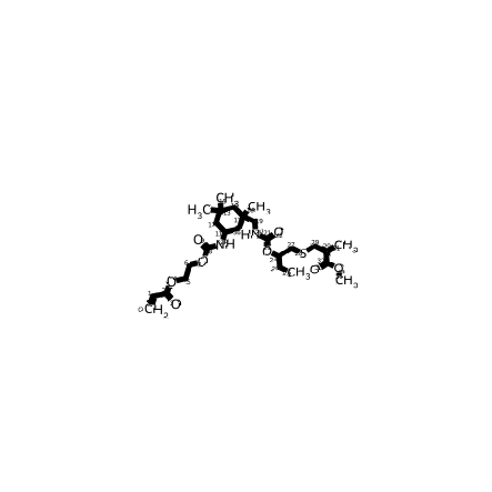 C=CC(=O)OCCOC(=O)NC1CC(C)(C)CC(C)(CNC(=O)OC(CC)CSCC(C)C(=O)OC)C1